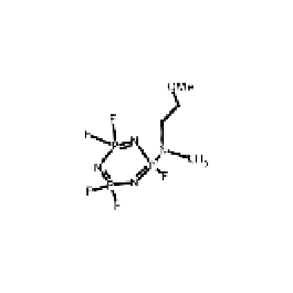 COCCN(C)P1(F)=NP(F)(F)=NP(F)(F)=N1